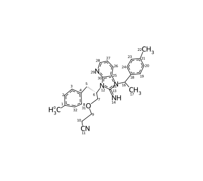 Cc1ccc(C[C@@H](COCCC#N)n2c(=N)n(C(C)c3ccc(C)cc3)c3cccnc32)cc1